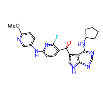 COc1ccc(Nc2ccc(C(=O)c3c[nH]c4ncnc(NC5CCCC5)c34)c(F)n2)cn1